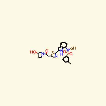 Cc1cccc(S(=O)(=O)N(S)c2cccc3cc(C4=NCC(CC(=O)N5CCC(O)C5)S4)[nH]c23)c1